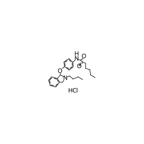 CCCCCS(=O)(=O)Nc1ccc(OC2c3ccccc3CN2CCCC)cc1.Cl